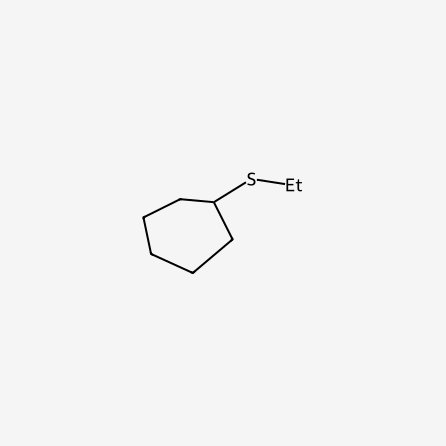 CCSC1CCCCC1